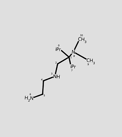 CC(C)C(CNCCN)(C(C)C)N(C)C